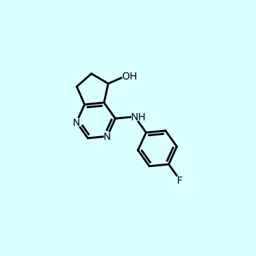 OC1CCc2ncnc(Nc3ccc(F)cc3)c21